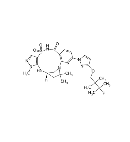 Cn1ncc2c1N[C@@H]1CN(c3nc(-n4ccc(OCC(C)(C)C(C)(C)F)n4)ccc3C(=O)NS2(=O)=O)C(C)(C)C1